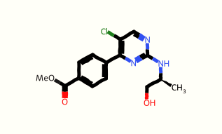 COC(=O)c1ccc(-c2nc(N[C@@H](C)CO)ncc2Cl)cc1